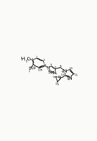 Cc1ccc(-n2cc(Cn3ccnc3C3CC3)nn2)cc1F